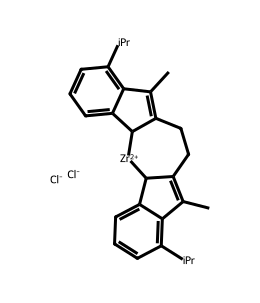 CC1=C2CCC3=C(C)c4c(C(C)C)cccc4[CH]3[Zr+2][CH]2c2cccc(C(C)C)c21.[Cl-].[Cl-]